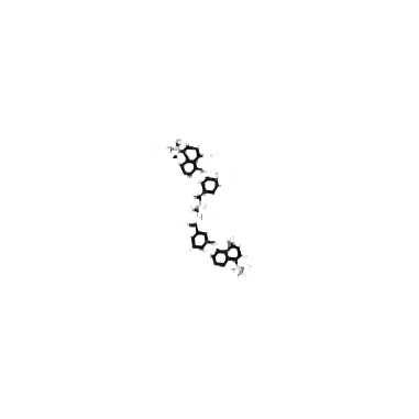 Cc1ccc(C(=O)NC(=O)NC(=O)c2ccc(C)c(Nc3cccc4c(S(=O)(=O)O)ccc(O)c34)c2)cc1Nc1cccc2c(S(=O)(=O)O)ccc(O)c12